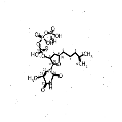 C=C(C)CCC[C@@H]1CC(OP(=O)(O)OP(=O)(O)OP(=O)(O)O)[C@H](n2cc(C)c(=O)[nH]c2=O)O1